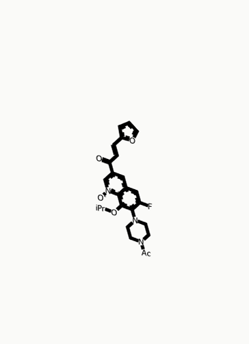 CC(=O)N1CCN(c2c(F)cc3cc(C(=O)C=Cc4ccco4)c[n+]([O-])c3c2OC(C)C)CC1